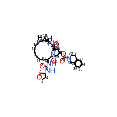 O=C(NC1CCOC1)N[C@H]1CCCCC/C=C\[C@@H]2C[C@H]2NC(=O)[C@@H]2C[C@@H](OC(=O)N3CCc4ccccc4C3)CN2C1=O